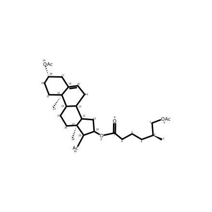 CC(=O)OC[C@@H](C)CCCC(=O)OC1CC2C3CC=C4C[C@@H](OC(C)=O)CC[C@]4(C)C3CC[C@]2(C)C1C(C)=O